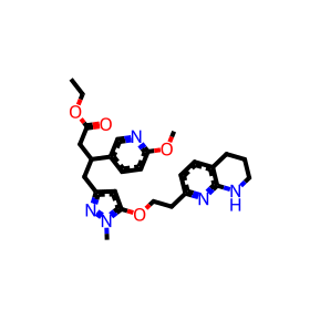 CCOC(=O)CC(Cc1cc(OCCc2ccc3c(n2)NCCC3)n(C)n1)c1ccc(OC)nc1